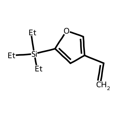 C=Cc1coc([Si](CC)(CC)CC)c1